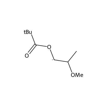 COC(C)[CH]OC(=O)C(C)(C)C